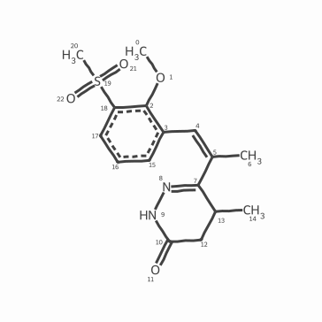 COc1c(C=C(C)C2=NNC(=O)CC2C)cccc1S(C)(=O)=O